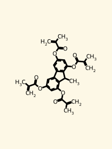 C=C(C)C(=O)Oc1cc(OC(=O)C(=C)C)c2c(c1)-c1cc(OC(=O)C(=C)C)cc(OC(=O)C(=C)C)c1C2C